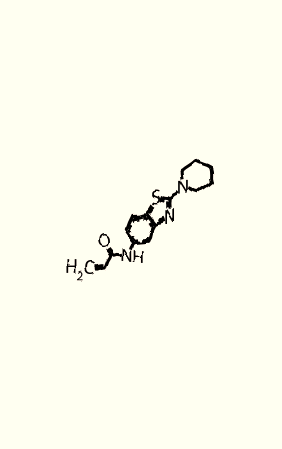 C=CC(=O)Nc1ccc2sc(N3CCCCC3)nc2c1